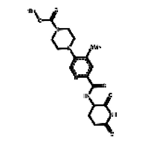 COc1cc(C(=O)NC2CCC(=O)NC2=O)ncc1N1CCN(C(=O)OC(C)(C)C)CC1